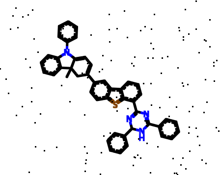 CC12CC(c3ccc4sc5c(C6=NC(c7ccccc7)NC(c7ccccc7)=N6)cccc5c4c3)=CC=C1N(c1ccccc1)c1ccccc12